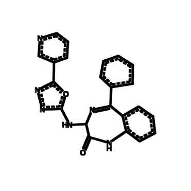 O=C1Nc2ccccc2C(c2ccccc2)=NC1Nc1nnc(-c2cccnc2)o1